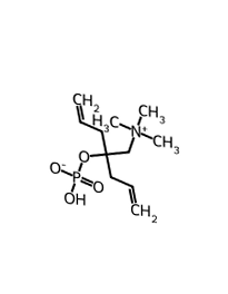 C=CCC(CC=C)(C[N+](C)(C)C)OP(=O)([O-])O